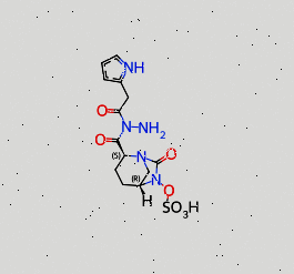 NN(C(=O)Cc1ccc[nH]1)C(=O)[C@@H]1CC[C@@H]2CN1C(=O)N2OS(=O)(=O)O